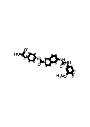 COc1cc(NC(=O)Nc2ccc3c(c2)CCN(C(=O)O[C@H]2CC[C@H](CC(=O)O)CC2)C3)ccc1F